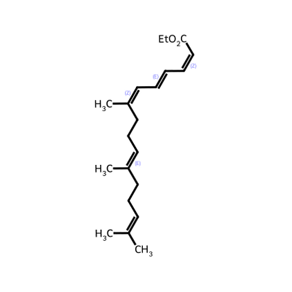 CCOC(=O)\C=C/C=C/C=C(/C)CC/C=C(\C)CCC=C(C)C